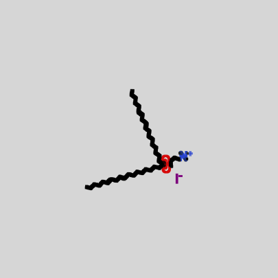 CCCCCC=CCC=CCCCCCCCCC1(CCCCCCCCC=CCC=CCCCCC)OCC(CC[N+](C)(C)C)O1.[I-]